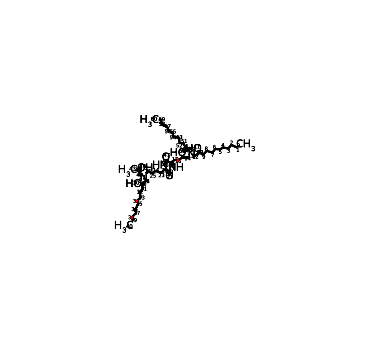 CCCCCCCCCC[C@@H](O)CN(CCCCC1NC(=O)C(CCCCN(C[C@H](O)CCCCCCCCCC)C[C@@H](C)O)NC1=O)C[C@H](O)CCCCCCCCCC